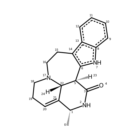 C[C@H]1NC(=O)[C@@H]2c3[nH]c4ccccc4c3CCN3CCC=C1[C@@H]23